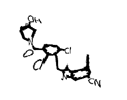 Cc1cc(C#N)cc2c1cc(Cc1c(Cl)ccc(C(=O)N3CC[C@@H](O)C3)c1Cl)n2C